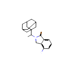 CC(N1Cc2c(N)cccc2C1=S)C12CC3CC(CC(C3)C1)C2